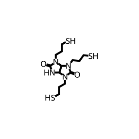 O=C1NC2C(N1CCCS)N(CCCS)C(=O)N2CCCS